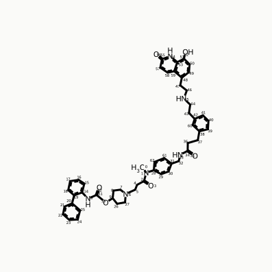 CN(C(=O)CCN1CCC(OC(=O)Nc2ccccc2-c2ccccc2)CC1)c1ccc(CNC(=O)CCc2cccc(CCNCCc3ccc(O)c4[nH]c(=O)ccc34)c2)cc1